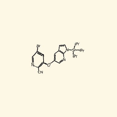 CC(C)[Si](C(C)C)(C(C)C)n1ccc2cc(Oc3cc(Br)cnc3C#N)cnc21